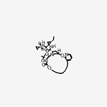 CC[C@@H]1C[C@]1(NC(=O)[C@@H]1C[C@@H]2CN1C(=O)[C@H](C(C)(C)C)NC(=O)OCCCCCCCc1cccnc1O2)C(=O)NS(=O)(=O)C1CC1